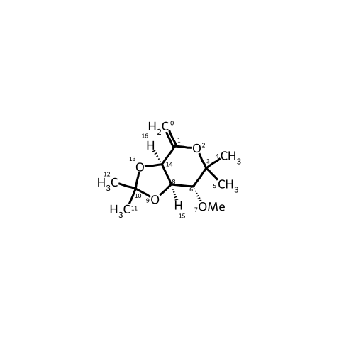 C=C1OC(C)(C)[C@H](OC)[C@H]2OC(C)(C)O[C@@H]12